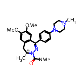 CNC(=O)N1N=C(c2ccc(N3CCN(C)CC3)cc2)c2cc(OC)c(OC)cc2C[C@H]1C